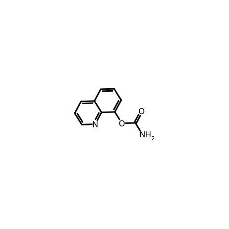 NC(=O)Oc1cccc2cccnc12